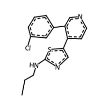 CCCNc1ncc(-c2ccncc2-c2cccc(Cl)c2)s1